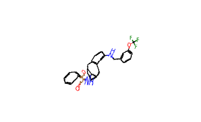 O=S(=O)(NC1C2CCC1Cc1cc(NCc3cccc(OC(F)(F)F)c3)ccc1C2)c1ccccc1